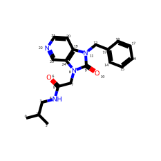 CC(C)CNC(=O)Cn1c(=O)n(Cc2ccccc2)c2ccncc21